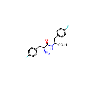 NC(Cc1ccc(F)cc1)C(=O)NC(Cc1ccc(F)cc1)C(=O)O